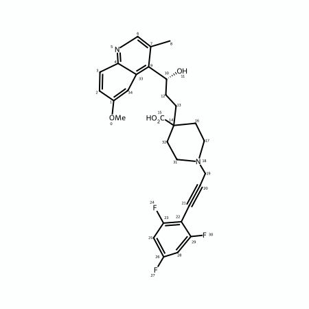 COc1ccc2ncc(C)c([C@H](O)CCC3(C(=O)O)CCN(CC#Cc4c(F)cc(F)cc4F)CC3)c2c1